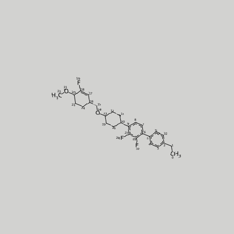 CCc1ccc(-c2ccc(C3CCC(OCC4C=C(F)C(OC)CC4)CC3)c(F)c2F)cc1